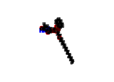 CCCCCCCCCCCCCCCCOCCCOP(=O)(COC(C)Cn1cc(C)c(=O)[nH]c1=O)Oc1cccc2ccccc12